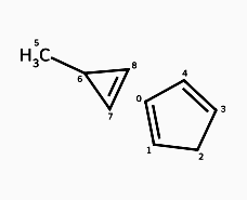 C1=CCC=C1.CC1C=C1